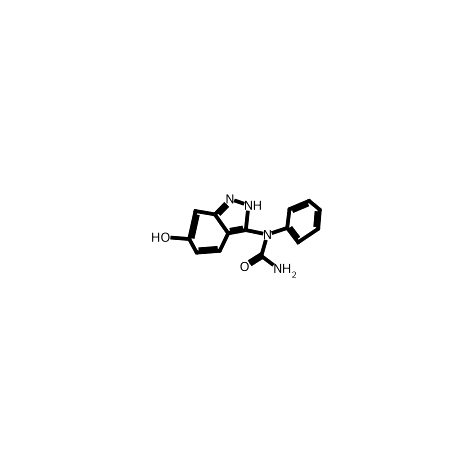 NC(=O)N(c1ccccc1)c1[nH]nc2cc(O)ccc12